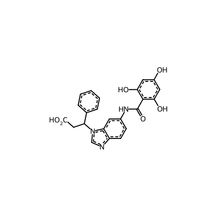 O=C(O)CC(c1ccccc1)n1cnc2ccc(NC(=O)c3c(O)cc(O)cc3O)cc21